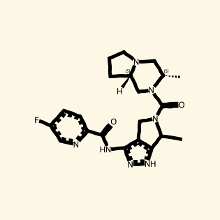 CC1c2[nH]nc(NC(=O)c3ccc(F)cn3)c2CN1C(=O)N1C[C@@H]2CCCN2C[C@@H]1C